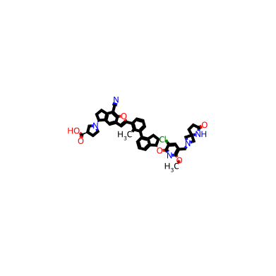 COc1nc(O[C@H]2CCc3c(-c4cccc(-c5cc6cc7c(c(C#N)c6o5)CC[C@H]7N5CC[C@@H](C(=O)O)C5)c4C)cccc32)c(Cl)cc1CN1CC2(CCC(=O)N2)C1